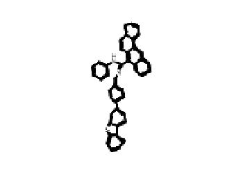 c1ccc(N/C(=N\Cc2ccc(-c3ccc4c(c3)sc3ccccc34)cc2)c2c3ccccc3cc3c2ccc2ccccc23)cc1